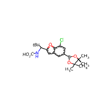 CC(C)(C)C(NC(=O)O)c1cc2cc(B3OC(C)(C)C(C)(C)O3)cc(Cl)c2o1